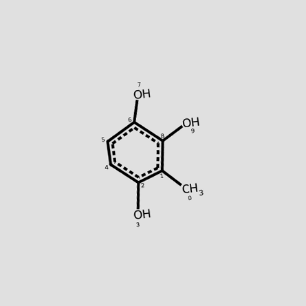 Cc1c(O)ccc(O)c1O